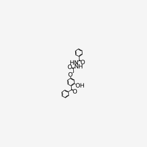 O=C(COc1ccc(C(=O)c2ccccc2)c(O)c1)NNC(=O)c1ccccc1